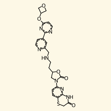 O=C1CSc2ccc(N3CC(CCNCc4cc(-c5nccc(OC6COC6)n5)ccn4)OC3=O)nc2N1